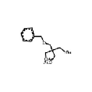 CC(=O)OCC(COCc1ccccc1)(COC(C)=O)CC(C)(C)C